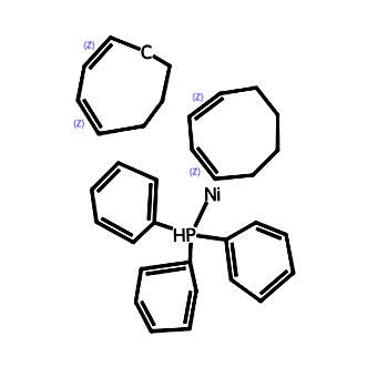 C1=C\CCCC\C=C/1.C1=C\CCCC\C=C/1.[Ni][PH](c1ccccc1)(c1ccccc1)c1ccccc1